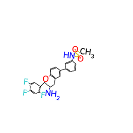 CS(=O)(=O)Nc1cccc(-c2ccc3c(c2)CC(N)C(c2cc(F)c(F)cc2F)O3)c1